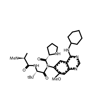 CN[C@@H](C)C(=O)N[C@H](C(=O)N(C(=O)[C@@H]1CCCN1)c1cc2c(NC3CCCCC3)ncnc2cc1OC)C(C)(C)C